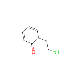 O=C1C=CC=CC1CCCl